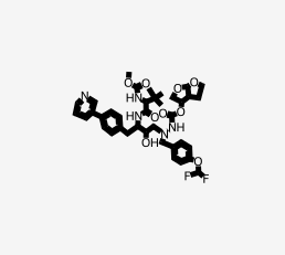 COC(=O)NC(C(=O)NC(Cc1ccc(-c2cccnc2)cc1)C(O)CN(Cc1ccc(OC(F)F)cc1)NC(=O)OC1COC2OCCC12)C(C)(C)C